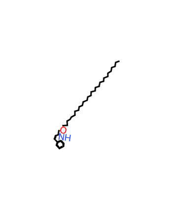 CCCCCCCCCCCCCCCCCCCCCCCCCCCCOCC1C=Cc2ccccc2N1